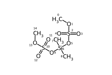 COS(=O)(=O)O[Si](C)(C)OS(=O)(=O)OC